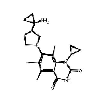 Cc1c(F)c(N2CCC(C3(N)CC3)C2)c(C)c2c1c(=O)[nH]c(=O)n2C1CC1